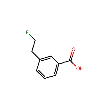 O=C(O)c1cccc(CCF)c1